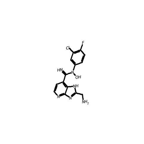 N=C(c1ccnc2nc(CN)[nH]c12)N(O)c1ccc(F)c(Cl)c1